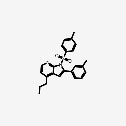 CCCc1ccnc2c1cc(-c1cccc(C)c1)n2S(=O)(=O)c1ccc(C)cc1